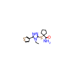 CCn1c(SC2(C(N)=O)CCCC2)nnc1-c1ccsc1